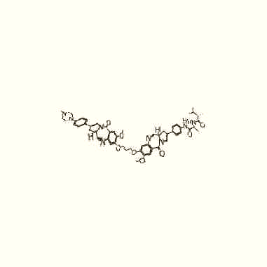 COc1cc2c(cc1OCCCOc1cc3c(cc1OC)C(=O)N1C=C(c4ccc(N5CCN(C)CC5)cc4)C[C@H]1C=N3)N=C[C@@H]1CC(c3ccc(NC(=O)[C@H](C)NC(=O)[C@@H](C)C(C)C)cc3)=CN1C2=O